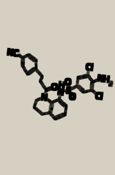 N#Cc1ccc(CCC(=O)N2CCCc3cccc(NS(=O)(=O)c4cc(Cl)c(N)c(Cl)c4)c32)cc1